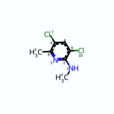 CNc1nc(C)c(Cl)cc1Cl